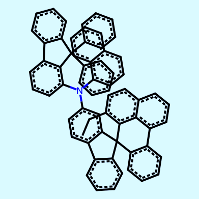 CCc1ccc2cccc3c2c1C1(c2ccccc2-c2ccc(N(c4cccc5c4C(c4ccccc4)(c4ccccc4)c4ccccc4-5)c4cccc5ccccc45)cc21)c1ccccc1-3